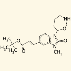 Cn1c(=O)n(C2CCCNCO2)c2ccc(/C=C/C(=O)OC(C)(C)C)cc21